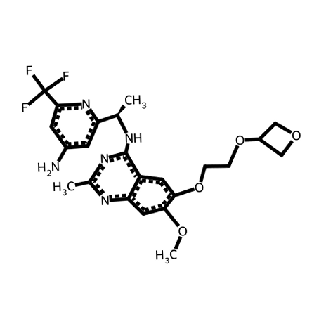 COc1cc2nc(C)nc(N[C@H](C)c3cc(N)cc(C(F)(F)F)n3)c2cc1OCCOC1COC1